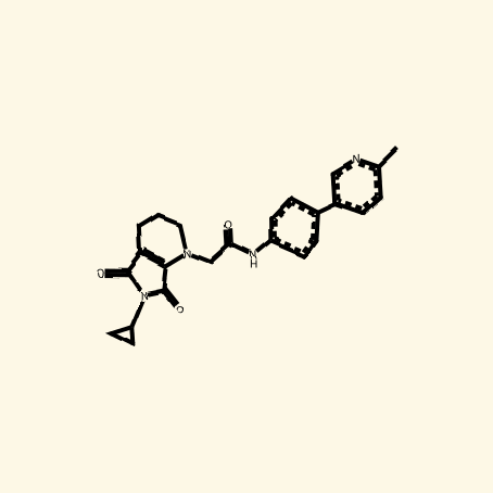 Cc1ccc(-c2ccc(NC(=O)CN3CCCC4=C3C(=O)N(C3CC3)C4=O)cc2)cn1